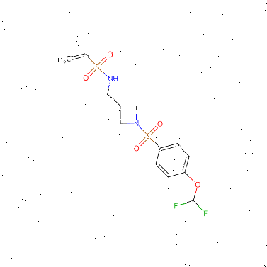 C=CS(=O)(=O)NCC1CN(S(=O)(=O)c2ccc(OC(F)F)cc2)C1